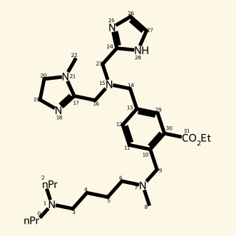 CCCN(CCC)CCCCN(C)Cc1ccc(CN(CC2=NCCN2C)Cc2ncc[nH]2)cc1C(=O)OCC